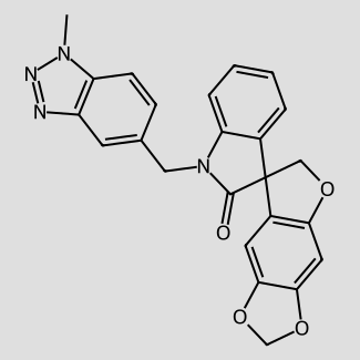 Cn1nnc2cc(CN3C(=O)C4(COc5cc6c(cc54)OCO6)c4ccccc43)ccc21